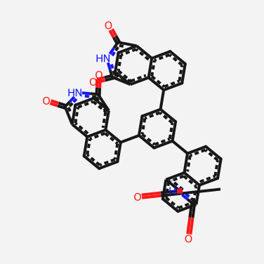 O=c1[nH]c(=O)c2ccc1c1cccc(-c3cc(-c4cccc5c6ccc(c(=O)[nH]c6=O)c45)cc(-c4cccc5c6ccc(c(=O)[nH]c6=O)c45)c3)c21